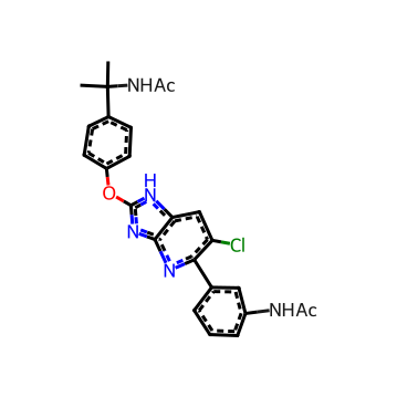 CC(=O)Nc1cccc(-c2nc3nc(Oc4ccc(C(C)(C)NC(C)=O)cc4)[nH]c3cc2Cl)c1